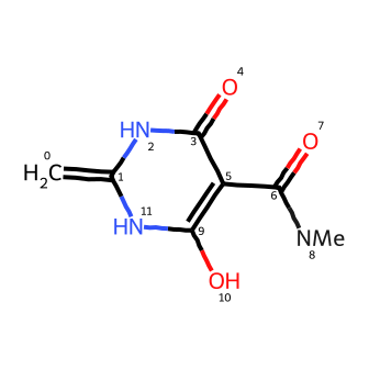 C=C1NC(=O)C(C(=O)NC)=C(O)N1